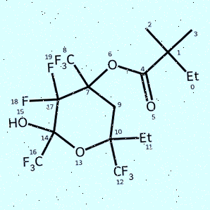 CCC(C)(C)C(=O)OC1(C(F)(F)F)CC(CC)(C(F)(F)F)OC(O)(C(F)(F)F)C1(F)F